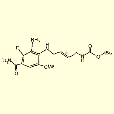 COc1cc(C(N)=O)c(F)c(N)c1NC/C=C/CNC(=O)OC(C)(C)C